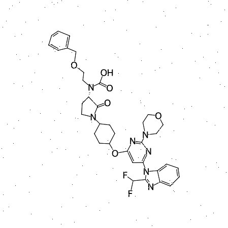 O=C1[C@@H](N(CCOCc2ccccc2)C(=O)O)CCN1C1CCC(Oc2cc(-n3c(C(F)F)nc4ccccc43)nc(N3CCOCC3)n2)CC1